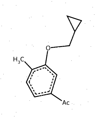 CC(=O)c1ccc(C)c(OCC2CC2)c1